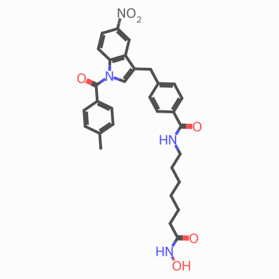 Cc1ccc(C(=O)n2cc(Cc3ccc(C(=O)NCCCCCCC(=O)NO)cc3)c3cc([N+](=O)[O-])ccc32)cc1